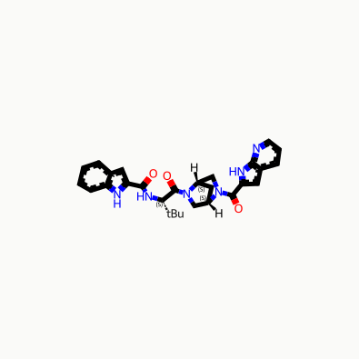 CC(C)(C)[C@H](NC(=O)c1cc2ccccc2[nH]1)C(=O)N1C[C@@H]2C[C@H]1CN2C(=O)c1cc2cccnc2[nH]1